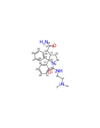 CN(C)CCNC(=O)N1CCC(CC(N)=O)C1(c1ccccc1)c1ccccc1